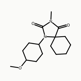 COC1CCC(N2C(=O)N(C)C(=O)C23CCCCC3)CC1